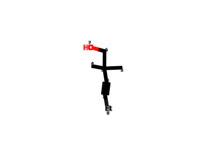 CCC#CC(C)(C)CO